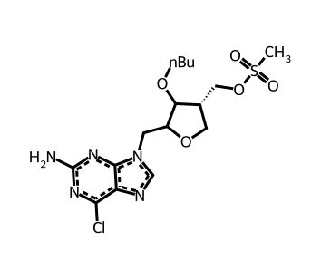 CCCCOC1C(Cn2cnc3c(Cl)nc(N)nc32)OC[C@H]1COS(C)(=O)=O